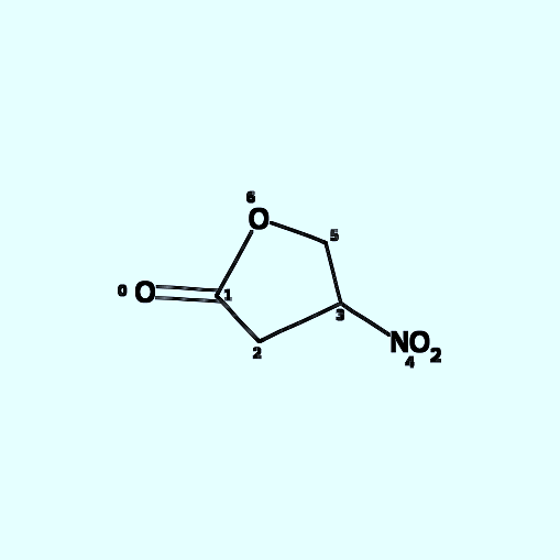 O=C1CC([N+](=O)[O-])CO1